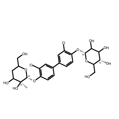 C[C@]1(O)C(O)CC(CO)O[C@@H]1Oc1ccc(-c2ccc(O[C@H]3OC(CO)[C@@H](O)C(O)C3O)c(Cl)c2)cc1Cl